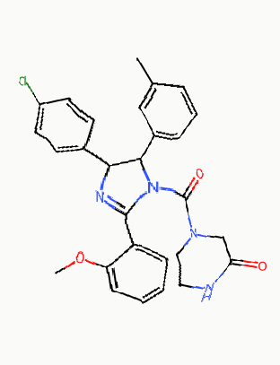 COc1ccccc1C1=NC(c2ccc(Cl)cc2)C(c2cccc(C)c2)N1C(=O)N1CCNC(=O)C1